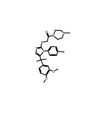 COc1ccc(C(C)(C)c2cnc(SCC(=O)N3CCN(C)CC3)n2-c2ccc(F)cc2)cc1OC